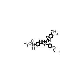 COc1ccc(N2N=C(c3ccc(NC(C)=O)cc3)NN2c2nc3ccc(C)cc3s2)cc1